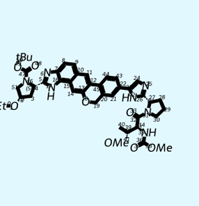 CCO[C@H]1C[C@@H](c2nc3ccc4cc5c(cc4c3[nH]2)OCc2cc(-c3cnc([C@@H]4CCCN4C(=O)[C@@H](NC(=O)OC)[C@@H](C)OC)[nH]3)ccc2-5)N(C(=O)OC(C)(C)C)C1